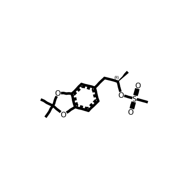 C[C@H](Cc1ccc2c(c1)OC(C)(C)O2)OS(C)(=O)=O